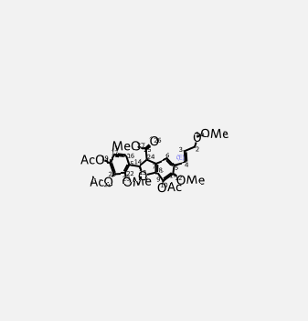 COOC/C=C/c1cc2c(c(OC(C)=O)c1OC)OC(c1ccc(OC(C)=O)c(OC(C)=O)c1OC)C2C(=O)OC